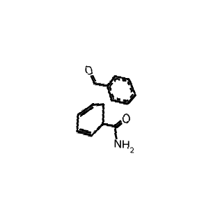 NC(=O)C1C=CC=CC1.O=Cc1ccccc1